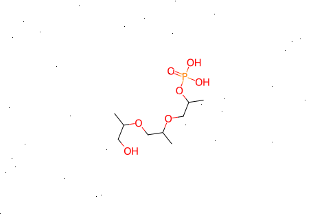 CC(CO)OCC(C)OCC(C)OP(=O)(O)O